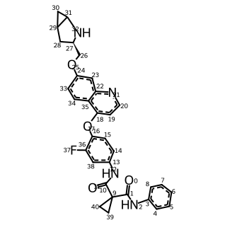 O=C(Nc1ccccc1)C1(C(=O)Nc2ccc(Oc3ccnc4cc(OC[C@H]5CC6CC6N5)ccc34)c(F)c2)CC1